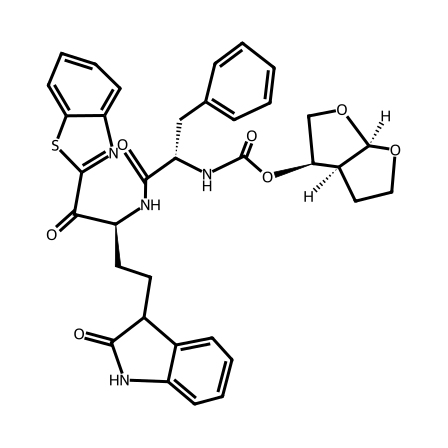 O=C(N[C@@H](Cc1ccccc1)C(=O)N[C@@H](CCC1C(=O)Nc2ccccc21)C(=O)c1nc2ccccc2s1)O[C@H]1CO[C@H]2OCC[C@H]21